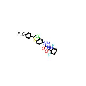 CC(Sc1ccc(NC(=O)NC(=O)c2c(F)cccc2F)cc1Cl)c1ccc(C(F)(F)F)cc1